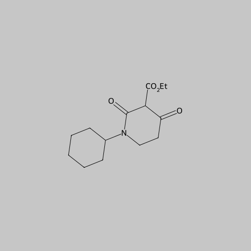 CCOC(=O)C1C(=O)CCN(C2CCCCC2)C1=O